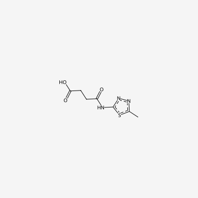 Cc1nnc(NC(=O)CCC(=O)O)s1